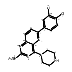 CC(=O)Nc1nc(N2CCNCC2)c2nc(-c3ccc(Cl)c(Cl)c3)ccc2n1